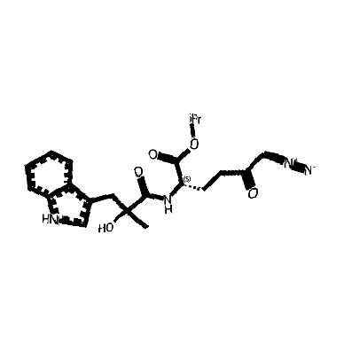 CC(C)OC(=O)[C@H](CCC(=O)C=[N+]=[N-])NC(=O)C(C)(O)Cc1c[nH]c2ccccc12